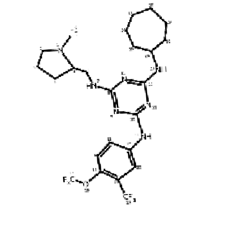 CCN1CCCC1CNc1nc(Nc2ccc(OC(F)(F)F)c(C(F)(F)F)c2)nc(NC2CCCCCC2)n1